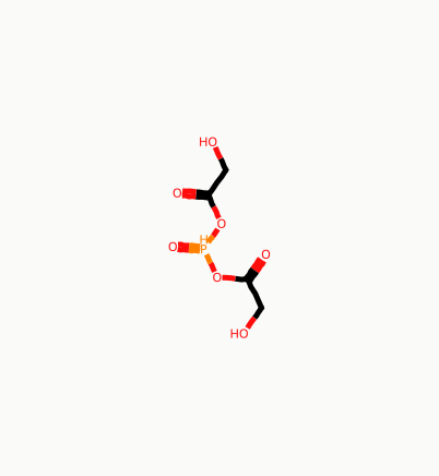 O=C(CO)O[PH](=O)OC(=O)CO